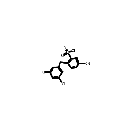 N#[13C]c1ccc(Cc2cc(Cl)cc(Cl)c2)c(S(=O)(=O)Cl)c1